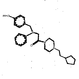 COc1ccc(CN(CC(=O)N2CCN(CCC3CCCC3)CC2)c2ccccc2)cc1